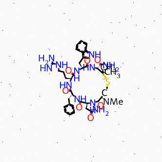 CN[C@H]1CCSSC(C)(C)[C@@H](C(N)=O)NC(=O)[C@H](Cc2c[nH]c3ccccc23)NC(=O)[C@H](CCCNC(=N)N)NC(=O)[C@@H](Cc2ccccc2)NC(=O)[C@H](CC(N)=O)NC1=O